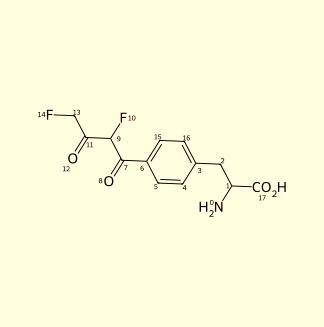 NC(Cc1ccc(C(=O)C(F)C(=O)CF)cc1)C(=O)O